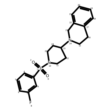 O=S(=O)(c1cccc(F)c1)N1CCC(N2CCc3ccccc3C2)CC1